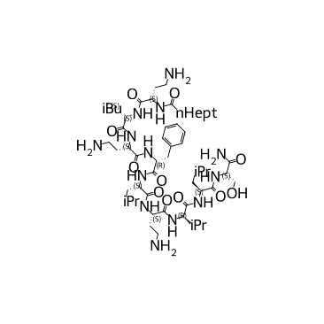 CCCCCCCC(=O)N[C@@H](CCN)C(=O)N[C@H](C(=O)N[C@@H](CCN)C(=O)N[C@H](Cc1ccccc1)C(=O)N[C@@H](CC(C)C)C(=O)N[C@@H](CCN)C(=O)N[C@@H](C(=O)N[C@@H](CC(C)C)C(=O)N[C@@H](CO)C(N)=O)C(C)C)[C@@H](C)CC